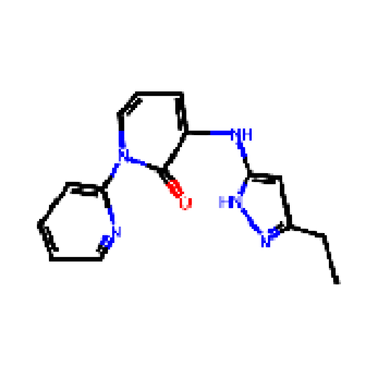 CCc1cc(Nc2cccn(-c3ccccn3)c2=O)[nH]n1